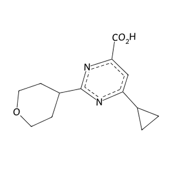 O=C(O)c1cc(C2CC2)nc(C2CCOCC2)n1